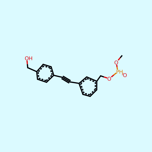 CO[PH](=O)OCc1cccc(C#Cc2ccc(CO)cc2)c1